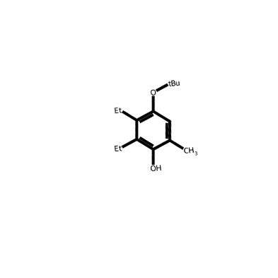 CCc1c(OC(C)(C)C)cc(C)c(O)c1CC